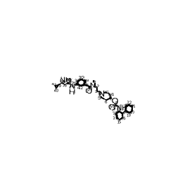 CN(CCN1CCC(OC(=O)Nc2ccccc2-c2ccccc2)CC1)C(=O)c1cccc(NC(=O)CC(N)C2CC2)c1